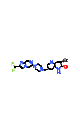 CCc1cc2ncc(CN3CCN(c4cn5cc(C(F)F)nc5cn4)CC3)cc2[nH]c1=O